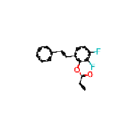 C=CC(=O)Oc1c(C=Cc2ccccc2)ccc(F)c1F